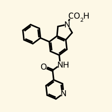 O=C(Nc1cc2c(c(-c3ccccc3)c1)CN(C(=O)O)C2)c1cccnc1